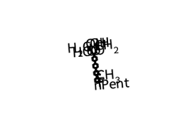 C=C(CO)C(=O)OCC(COC(O)C(=C)CO)C1CCC(C2CCC(c3ccc(-c4ccc(CCCCC)c(F)c4)c(C)c3)CC2)CC1